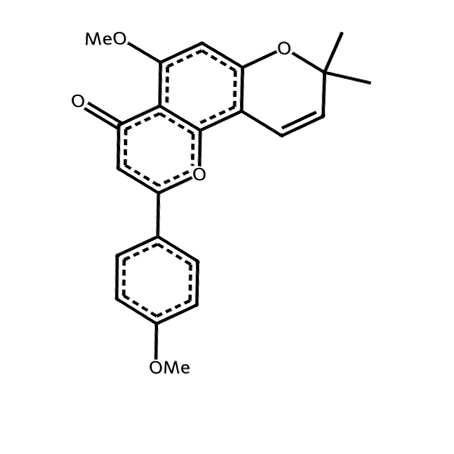 COc1ccc(-c2cc(=O)c3c(OC)cc4c(c3o2)C=CC(C)(C)O4)cc1